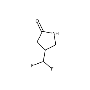 O=C1CC(C(F)F)CN1